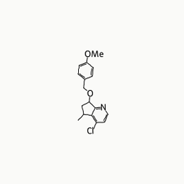 COc1ccc(COC2CC(C)c3c(Cl)ccnc32)cc1